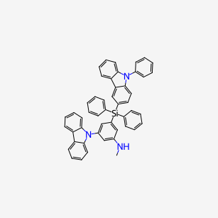 CNc1cc(-n2c3ccccc3c3ccccc32)cc([Si](c2ccccc2)(c2ccccc2)c2ccc3c(c2)c2ccccc2n3-c2ccccc2)c1